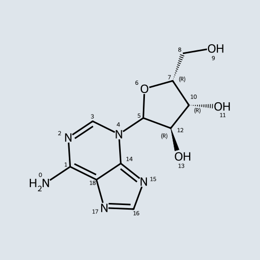 Nc1ncn(C2O[C@H](CO)[C@H](O)[C@H]2O)c2ncnc1-2